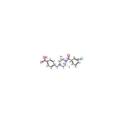 C[C@@H]1CN(Cc2ccc(C(=O)O)cc2)C[C@H](C)N1C(=O)c1cccc(Cl)c1